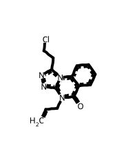 C=CCn1c(=O)c2ccccc2n2c(CCCl)nnc12